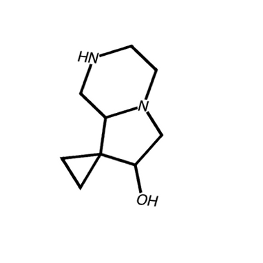 OC1CN2CCNCC2C12CC2